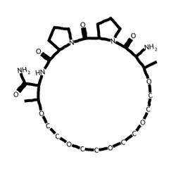 CC1OCCOCCOCCOCCOC(C)C(C(N)=O)NC(=O)C2CCCN2C(=O)C2CCCN2C(=O)C1N